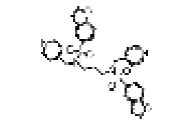 O=S(=O)(c1ccc2occc2c1)N(CCCN(Cc1ccncc1)S(=O)(=O)c1ccc2occc2c1)Cc1ccncc1